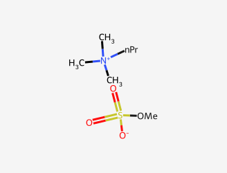 CCC[N+](C)(C)C.COS(=O)(=O)[O-]